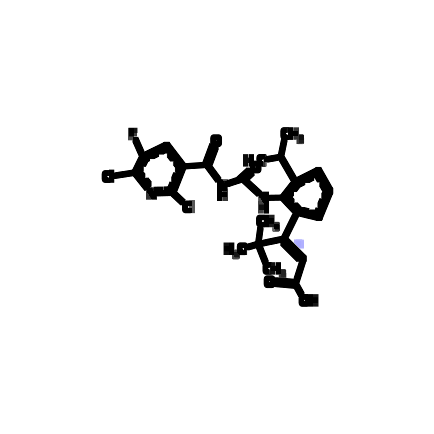 CC(C)c1cccc(/C(=C/C(=O)O)C(C)(C)C)c1NC(=O)NC(=O)c1cc(F)c(Cl)nc1Cl